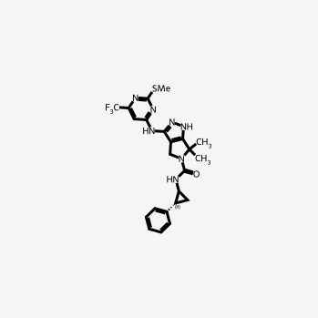 CSc1nc(Nc2n[nH]c3c2CN(C(=O)NC2C[C@@H]2c2ccccc2)C3(C)C)cc(C(F)(F)F)n1